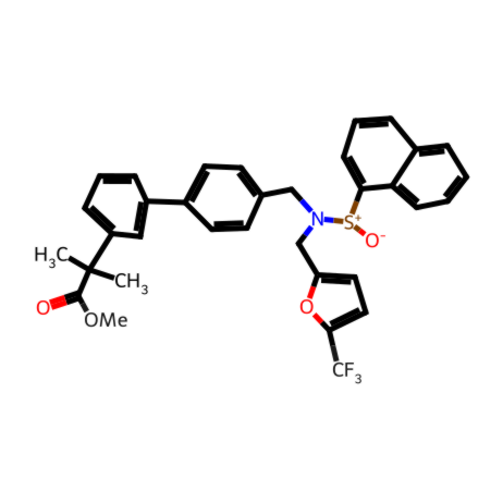 COC(=O)C(C)(C)c1cccc(-c2ccc(CN(Cc3ccc(C(F)(F)F)o3)[S+]([O-])c3cccc4ccccc34)cc2)c1